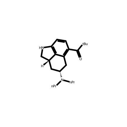 CCCN(CCC)[C@H]1Cc2c(C(=O)C(C)(C)C)ccc3c2[C@@H](CN3)C1